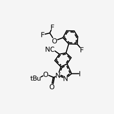 CC(C)(C)OC(=O)n1nc(I)c2cc(-c3c(F)cccc3OC(F)F)c(C#N)cc21